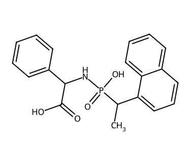 CC(c1cccc2ccccc12)P(=O)(O)NC(C(=O)O)c1ccccc1